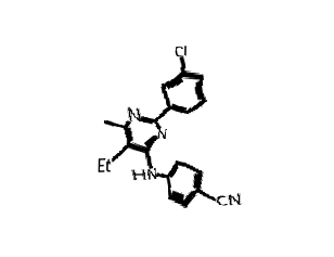 CCc1c(C)nc(-c2cccc(Cl)c2)nc1Nc1ccc(C#N)cc1